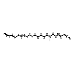 C=C=CC=NCCNCCCCCCCCNCCN=CC=C=C